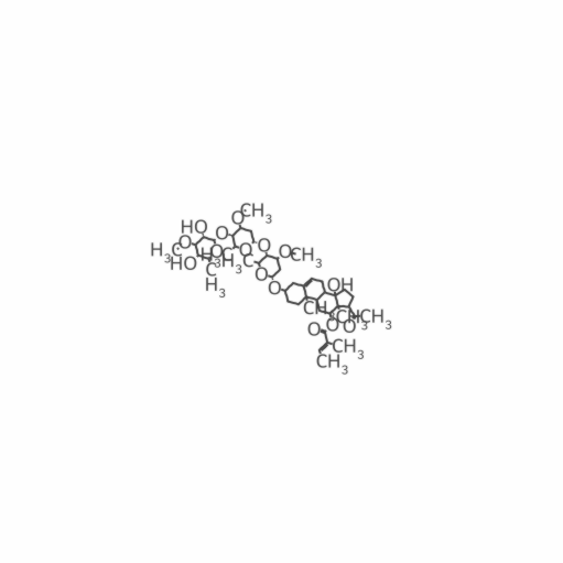 C/C=C(\C)C(=O)OC1CC2C(CC=C3CC(O[C@H]4CC(OC)[C@H](O[C@H]5CC(OC)[C@H](O[C@@H]6OC(C)[C@@H](O)C(OC)[C@@H]6O)C(C)O5)C(C)O4)CCC32C)C2(O)CCC(C(C)=O)C12C